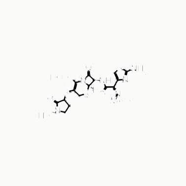 CO/N=C(\C(=O)N[C@@H]1C(=O)N2C(C(=O)O)=C(SC3CCN(C)C3=O)CS[C@H]12)c1csc(N)n1